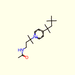 CC(=O)NCCC(C)(C)[n+]1ccc(C(C)(C)CC(C)(C)C)cc1